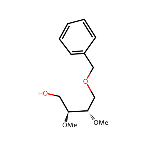 CO[C@@H](CO)[C@H](COCc1ccccc1)OC